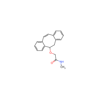 CNC(=O)COC1Cc2ccccc2/C=C\c2ccccc21